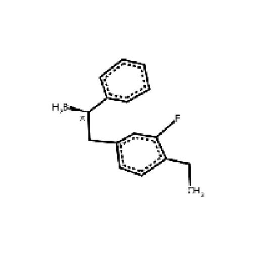 B[C@H](Cc1ccc(CC)c(F)c1)c1ccccc1